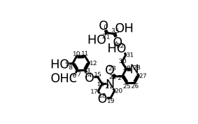 O=C(O)C(=O)O.O=Cc1c(O)cccc1OCC1COCCN1C(=O)c1cccnc1CCO